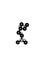 c1ccc(C2=NC(c3ccccc3)NC(c3ccc4oc5c(-c6ccc7c(c6)oc6cccc(-n8c9ccccc9c9ccccc98)c67)cccc5c4c3)=N2)cc1